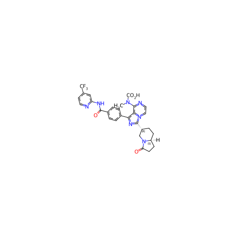 CN(C(=O)O)c1nccn2c([C@@H]3CC[C@H]4CCC(=O)N4C3)nc(-c3ccc(C(=O)Nc4cc(C(F)(F)F)ccn4)cc3)c12